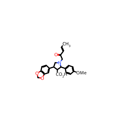 CC=CC(=O)CN1CC(c2ccc3c(c2)OCO3)C(C(=O)O)C1c1ccc(OC)cc1